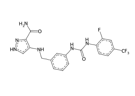 NC(=O)c1n[nH]cc1NCc1cccc(NC(=O)Nc2ccc(C(F)(F)F)cc2F)c1